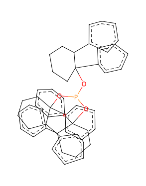 c1ccc(C2CCCCC2(OP(OC2(c3ccccc3)CCCCC2c2ccccc2)OC2(c3ccccc3)CCCCC2c2ccccc2)c2ccccc2)cc1